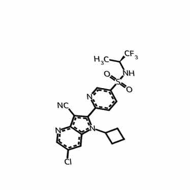 C[C@H](NS(=O)(=O)c1ccc(-c2c(C#N)c3ncc(Cl)cc3n2C2CCC2)nc1)C(F)(F)F